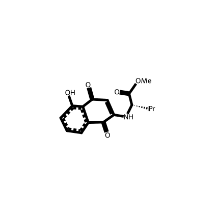 COC(=O)[C@@H](NC1=CC(=O)c2c(O)cccc2C1=O)C(C)C